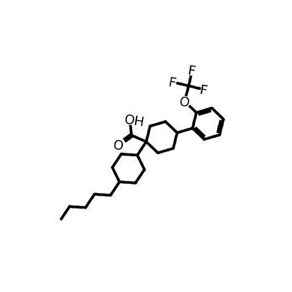 CCCCCC1CCC(C2(C(=O)O)CCC(c3ccccc3OC(F)(F)F)CC2)CC1